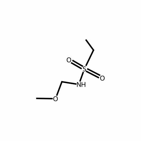 CCS(=O)(=O)NCOC